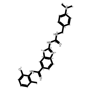 Cc1cccc(Cl)c1NC(=O)c1ccc2nc(NC(=O)NCc3ccc(N(C)C)cc3)sc2c1